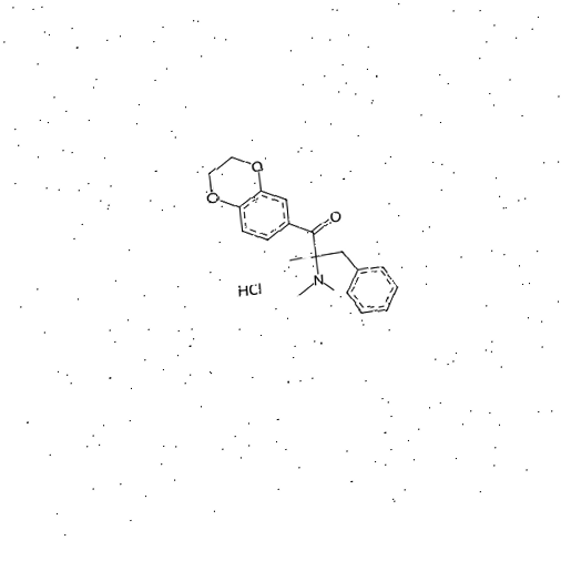 CN(C)C(C)(Cc1ccccc1)C(=O)c1ccc2c(c1)OCCO2.Cl